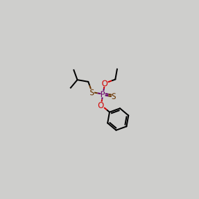 CCOP(=S)(Oc1ccccc1)SCC(C)C